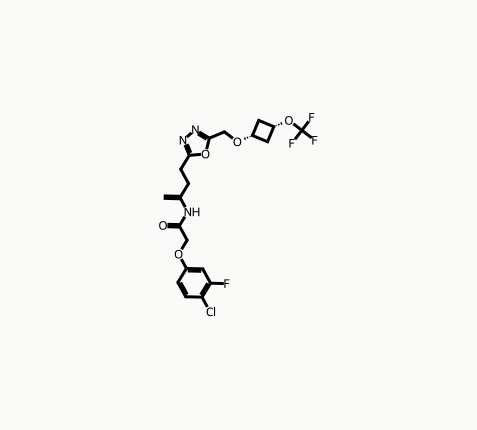 C=C(CCc1nnc(CO[C@H]2C[C@@H](OC(F)(F)F)C2)o1)NC(=O)COc1ccc(Cl)c(F)c1